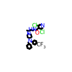 CC(CCNC(=O)c1c(Cl)cncc1Cl)N1CCC(N(Cc2ccccc2)c2ccc(C(F)(F)F)cc2)CC1